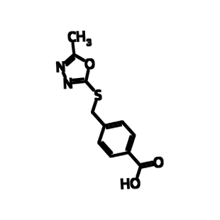 Cc1nnc(SCc2ccc(C(=O)O)cc2)o1